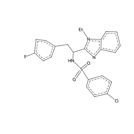 CCn1c(C(Cc2ccc(F)cc2)NS(=O)(=O)c2ccc(Cl)cc2)nc2ccccc21